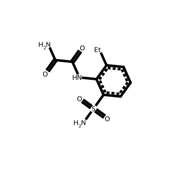 CCc1cccc(S(N)(=O)=O)c1NC(=O)C(N)=O